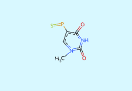 Cn1cc(P=S)c(=O)[nH]c1=O